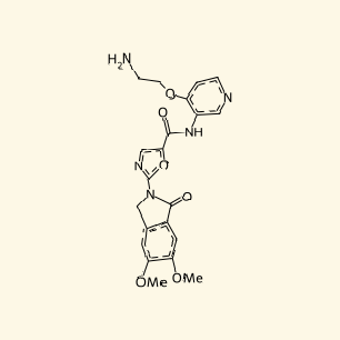 COc1cc2c(cc1OC)C(=O)N(c1ncc(C(=O)Nc3cnccc3OCCN)o1)C2